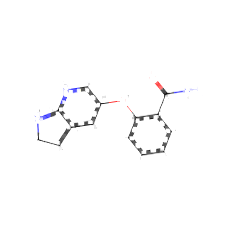 NC(=O)c1ccccc1Oc1cnc2c(c1)=CCN=2